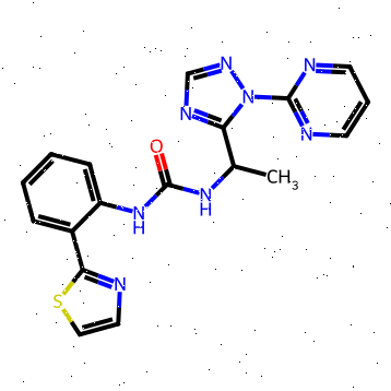 CC(NC(=O)Nc1ccccc1-c1nccs1)c1ncnn1-c1ncccn1